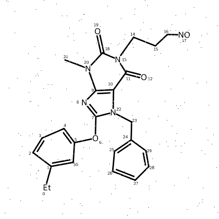 CCc1cccc(Oc2nc3c(c(=O)n(CCCN=O)c(=O)n3C)n2Cc2ccccc2)c1